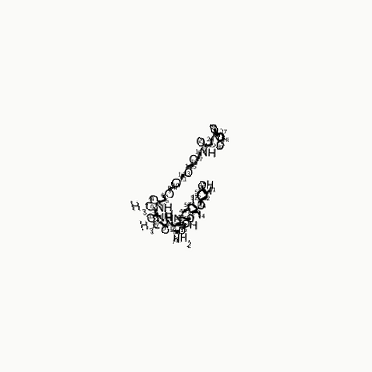 C[C@H](NC(=O)CCOCCOCCOCCOCCNC(=O)CCN1C(=O)C=CC1=O)C(=O)N[C@@H](C)C(=O)N[C@@H](CC(N)=O)C(=O)N[C@@H](Cc1cc(I)c(Oc2ccc(O)c(I)c2)c(I)c1)C(=O)O